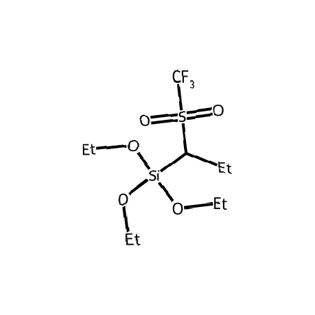 CCO[Si](OCC)(OCC)C(CC)S(=O)(=O)C(F)(F)F